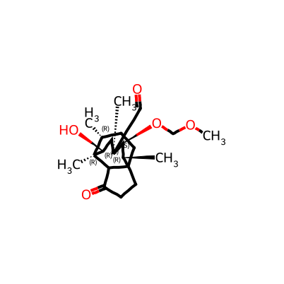 COCO[C@H]1[C@H](C)C23CCC(=O)C2[C@@](C)([C@H](C)CC3)[C@H](O)C[C@@]1(C)C=O